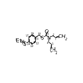 C=CCN(CC=C)C(=O)SCc1ccc(SCC)cc1